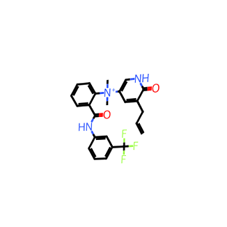 C=CCc1cc([N+](C)(C)c2ccccc2C(=O)Nc2cccc(C(F)(F)F)c2)c[nH]c1=O